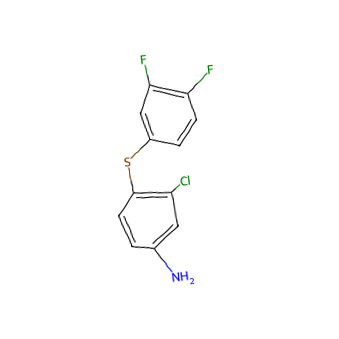 Nc1ccc(Sc2ccc(F)c(F)c2)c(Cl)c1